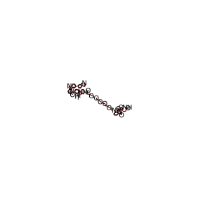 O=C1CCC(N2C(=O)c3cccc(NCCOCCOCCOCCOCCOCCC(=O)N4CCN(c5ccc(-n6c(=O)c#cc7cnc8ccc(-c9ccc%10ccncc%10c9)cc8c76)cc5C(F)(F)F)CC4)c3C2=O)C(=O)N1